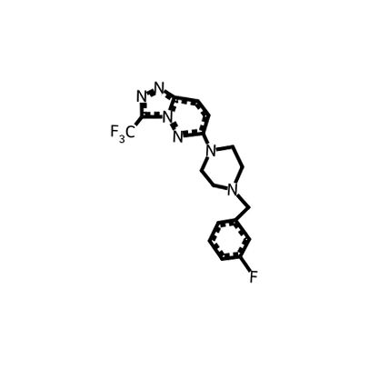 Fc1cccc(CN2CCN(c3ccc4nnc(C(F)(F)F)n4n3)CC2)c1